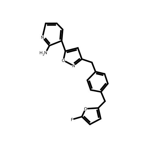 Nc1ncccc1-c1cc(Cc2ccc(Cc3ccc(F)o3)cc2)no1